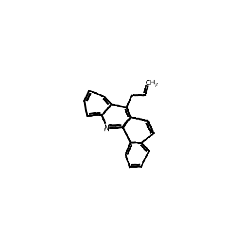 C=CCc1c2ccccc2nc2c1ccc1ccccc12